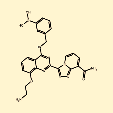 NCCOc1cccc2c(NCc3cccc(B(O)O)c3)nc(-c3nnc4c(C(N)=O)cccn34)nc12